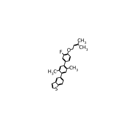 CC(C)=CCOc1ccc(-c2cc(C)c(-c3ccc4sccc4c3)cc2C)cc1F